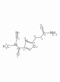 CN(C#N)C(=O)c1coc([CH]CC(N)=O)n1